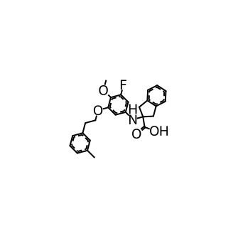 COc1c(F)cc(NC2(C(=O)O)Cc3ccccc3C2)cc1OCCc1cccc(C)c1